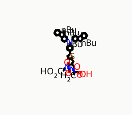 C=C(COO)N1C(=O)/C(=C/c2ccc(-c3ccc(N(c4ccc5c(c4)C(CCCC)(CCCC)c4ccccc4-5)c4ccc5c(c4)C(CCCC)(CCCC)c4ccccc4-5)cc3)s2)C(=O)N(CCC(=O)O)C1=O